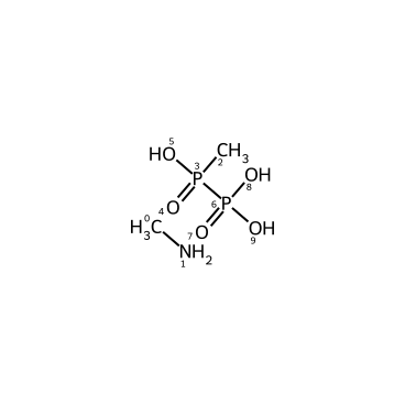 CN.CP(=O)(O)P(=O)(O)O